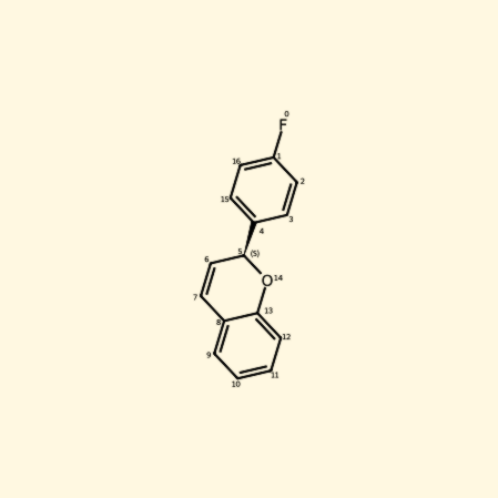 Fc1ccc([C@@H]2C=Cc3ccccc3O2)cc1